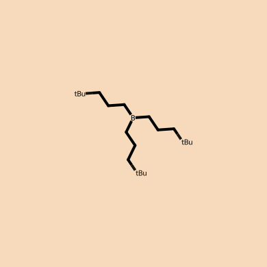 CC(C)(C)CCCB(CCCC(C)(C)C)CCCC(C)(C)C